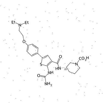 CCN(CC)CCOc1ccc(-c2cc(C(=O)N[C@H]3CCCN(C(=O)O)C3)c(NC(N)=O)s2)cc1